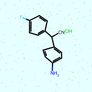 Cl.N#CC(c1ccc(N)cc1)c1ccc(F)cc1